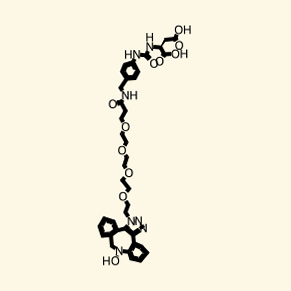 O=C(O)C[C@H](NC(=O)Nc1ccc(CNC(=O)CCOCCOCCOCCOCCn2nnc3c2-c2ccccc2CN(O)c2ccccc2-3)cc1)C(=O)O